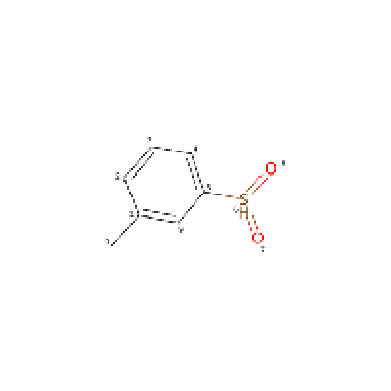 Cc1[c]ccc([SH](=O)=O)c1